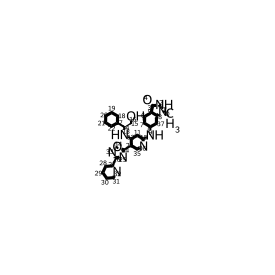 Cn1[nH]c(=O)c2ccc(Nc3cc(N[C@H](CO)c4ccccc4)c(-c4nc(-c5ccccn5)no4)cn3)cc21